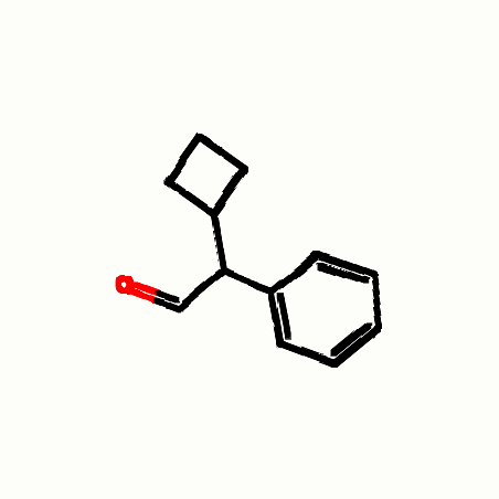 O=CC(c1ccccc1)C1CCC1